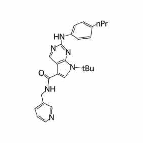 CCCc1ccc(Nc2ncc3c(C(=O)NCc4cccnc4)cn(C(C)(C)C)c3n2)cc1